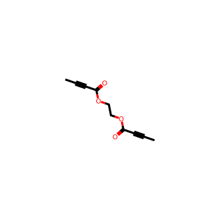 CC#CC(=O)OCCOC(=O)C#CC